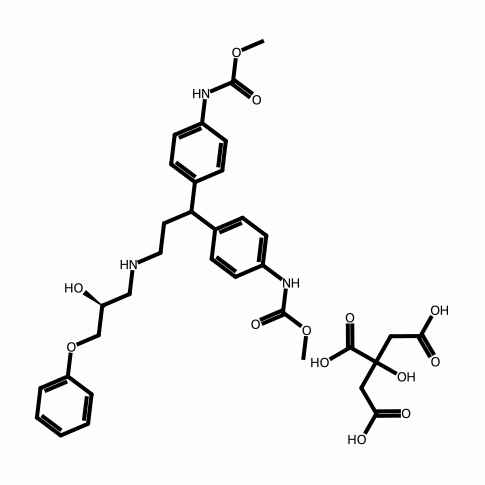 COC(=O)Nc1ccc(C(CCNC[C@H](O)COc2ccccc2)c2ccc(NC(=O)OC)cc2)cc1.O=C(O)CC(O)(CC(=O)O)C(=O)O